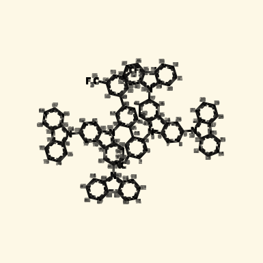 N#Cc1ccc(-n2c3ccc(-n4c5ccccc5c5ccccc54)cc3c3cc(-n4c5ccccc5c5ccccc54)ccc32)c(-c2ccc(-c3cc(C(F)(F)F)cc(C(F)(F)F)c3)cc2-n2c3ccc(-n4c5ccccc5c5ccccc54)cc3c3cc(-n4c5ccccc5c5ccccc54)ccc32)c1